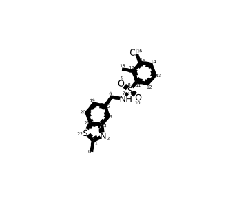 Cc1nc2cc(CNS(=O)(=O)c3cccc(Cl)c3C)ccc2s1